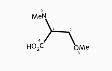 CNC(COC)C(=O)O